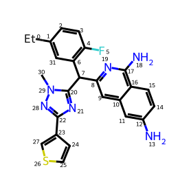 CCc1ccc(F)c(C(c2cc3cc(N)ccc3c(N)n2)c2nc(-c3ccsc3)nn2C)c1